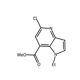 CCn1ccc2nc(Cl)cc(C(=O)OC)c21